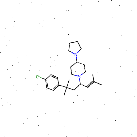 CC(C)=CC(CC(C)(C)c1ccc(Cl)cc1)N1CCC(N2CCCC2)CC1